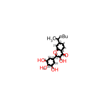 CCCCC(C)c1ccc2c(=O)c(O)c(-c3cc(O)c(O)c(O)c3)oc2c1